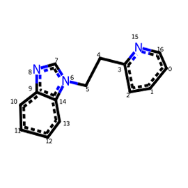 c1ccc(CCn2cnc3ccccc32)nc1